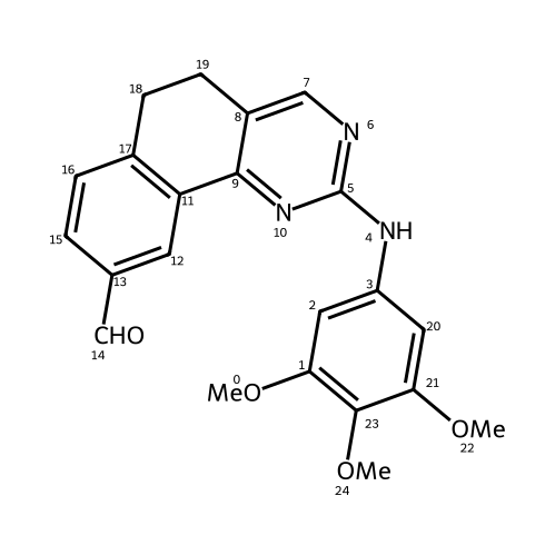 COc1cc(Nc2ncc3c(n2)-c2cc(C=O)ccc2CC3)cc(OC)c1OC